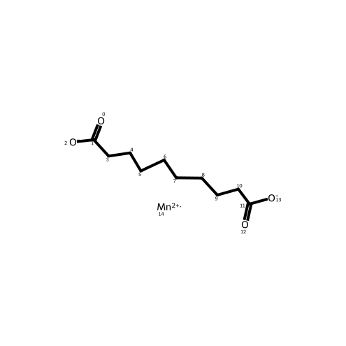 O=C([O-])CCCCCCCCC(=O)[O-].[Mn+2]